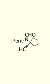 C#CC1(N(C=O)C(C)CCC)CCCC1